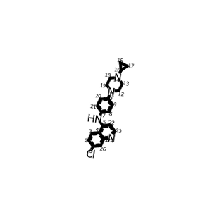 Clc1ccc2c(Nc3ccc(N4CCN(C5CC5)CC4)cc3)ccnc2c1